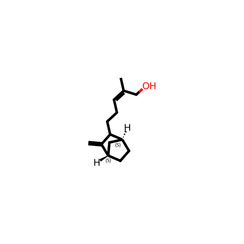 C=C1C(CCC=C(C)CO)[C@H]2CC[C@H]1C2